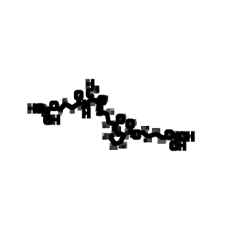 CC(NC(=O)CCCON(O)O)C(=O)SCCC(=O)N1CCC[C@H]1C(=O)OCCCCON(O)O